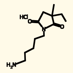 CCC1(C)CC(=O)N(CCCCCN)C1=O.Cl